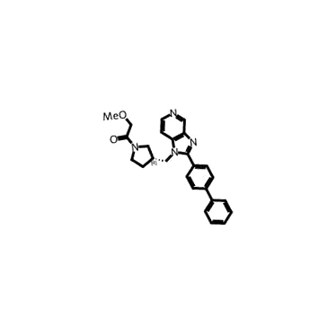 COCC(=O)N1CC[C@@H](Cn2c(-c3ccc(-c4ccccc4)cc3)nc3cnccc32)C1